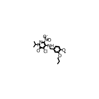 CCCOc1cc(CNc2c([N+](=O)[O-])nn(C(C)C)c(=O)c2Cl)ccc1OC